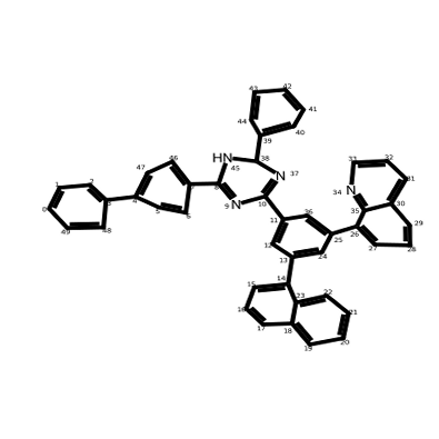 c1ccc(-c2ccc(C3=NC(c4cc(-c5cccc6ccccc56)cc(-c5cccc6cccnc56)c4)=NC(c4ccccc4)N3)cc2)cc1